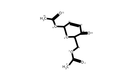 CC(=O)OCC1OC(OC(C)=O)C=CC1=O